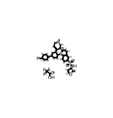 CN1CC=C(c2cc(-c3ccc(F)cc3)ccc2-n2c(=O)ccc3cc(S(=O)(=O)Nc4ccon4)ccc32)CC1.O=C(O)C(F)(F)F